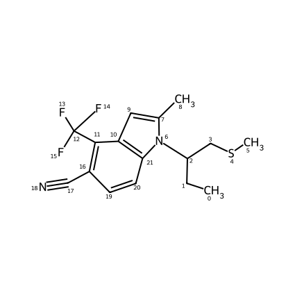 CCC(CSC)n1c(C)cc2c(C(F)(F)F)c(C#N)ccc21